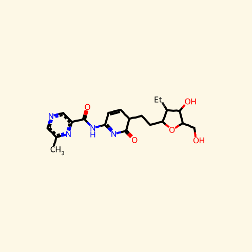 CCC1C(CCC2C=CC(NC(=O)c3cncc(C)n3)=NC2=O)OC(CO)C1O